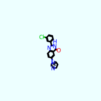 O=c1[nH]c(-c2cccc(Cl)c2)nc2ccc(N3CCN4CCC3CC4)cc12